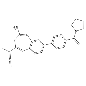 C=C=C(C)C1=Cc2ccc(-c3ccc(C(=C)N4CCCC4)cc3)cc2N=C(N)C1